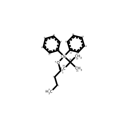 [CH2]CCCO[Si](c1ccccc1)(c1ccccc1)C(C)(C)C